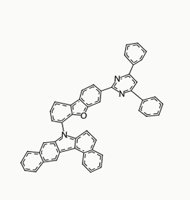 c1ccc(-c2cc(-c3ccccc3)nc(-c3ccc4c(c3)oc3c(-n5c6cc7ccccc7cc6c6c7ccccc7ccc65)cccc34)n2)cc1